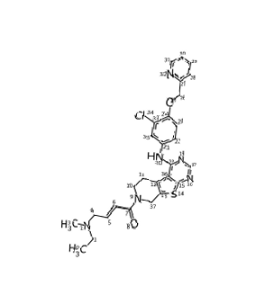 CCN(C)C/C=C/C(=O)N1CCc2c(sc3ncnc(Nc4ccc(OCc5ccccn5)c(Cl)c4)c23)C1